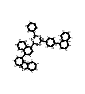 c1ccc(C2=NC(c3ccc(-c4cccc5oc6ccccc6c45)c4ccccc34)NC(c3ccc(-c4cccc5ccccc45)cc3)=N2)cc1